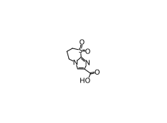 O=C(O)c1cn2c(n1)S(=O)(=O)CCC2